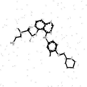 Cc1cc(Nc2ncnc3cccc(O[C@H](C)C(=O)N(C)CCO)c23)ccc1OCC1CCCCO1